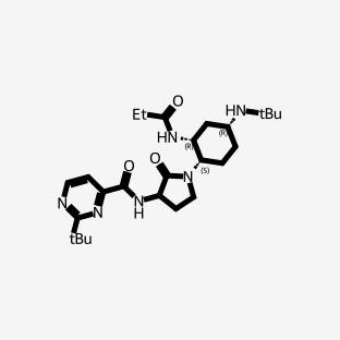 CCC(=O)N[C@@H]1C[C@H](NC(C)(C)C)CC[C@@H]1N1CCC(NC(=O)c2ccnc(C(C)(C)C)n2)C1=O